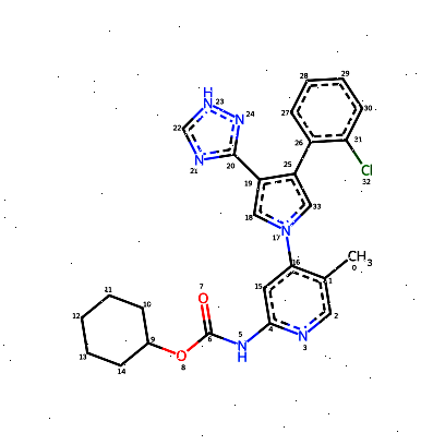 Cc1cnc(NC(=O)OC2CCCCC2)cc1-n1cc(-c2nc[nH]n2)c(-c2ccccc2Cl)c1